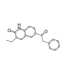 CCc1cc2cc(C(=O)Cc3ccccc3)ccc2[nH]c1=O